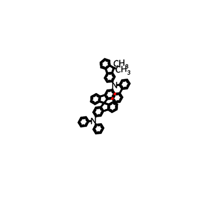 CC1(C)c2ccccc2-c2ccc(N(c3ccc4c(c3)-c3ccccc3C43c4ccccc4-c4cc(N(c5ccccc5)c5ccccc5)ccc43)c3ccccc3-c3ccccc3)cc21